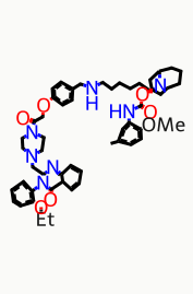 CCOc1ccccc1N1C(=O)C2C=CC=CC2=NC1CN1CCN(C(=O)COc2ccc(CNCCCCCCN3C4CCCC3CC(OC(=O)Nc3cc(C)ccc3OC)C4)cc2)CC1